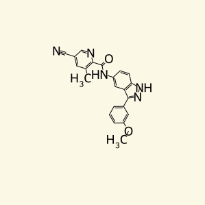 COc1cccc(-c2n[nH]c3ccc(NC(=O)c4ncc(C#N)cc4C)cc23)c1